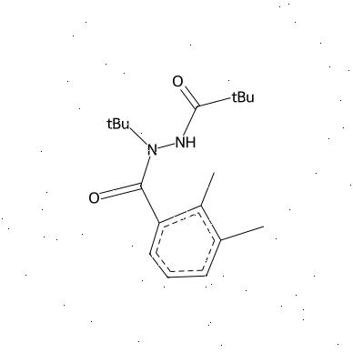 Cc1cccc(C(=O)N(NC(=O)C(C)(C)C)C(C)(C)C)c1C